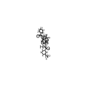 CN(C)c1cccc(C(=O)NC[C@H]2OC[C@]3(CNC(=O)c4ccccc4)OC(C)(C)O[C@H]23)c1